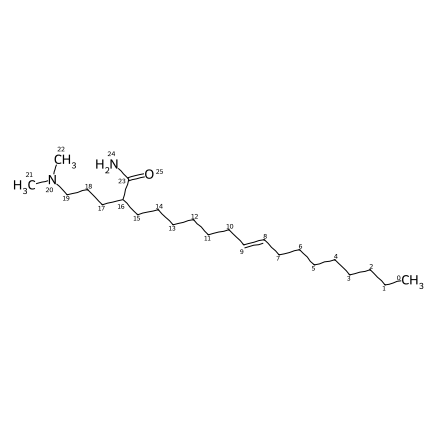 CCCCCCCCC=CCCCCCCC(CCCN(C)C)C(N)=O